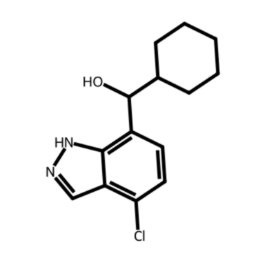 OC(c1ccc(Cl)c2cn[nH]c12)C1CCCCC1